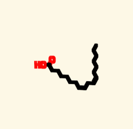 CCCCCC/C=C\C/C=C\CCCCCCC(=O)O